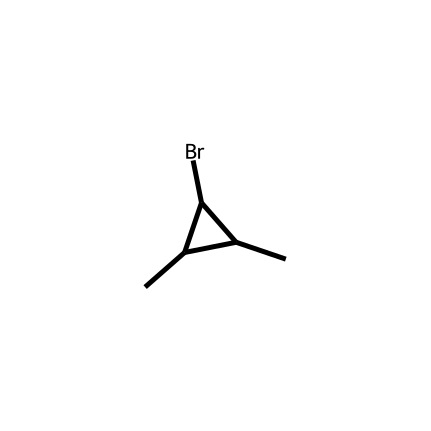 CC1C(C)C1Br